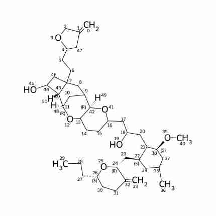 C=C1COC(CCC23CC4C[C@@H](OC5CCC(CC(O)CC6[C@H](C[C@H]7O[C@@H](CCC)CCC7=C)CC(C)C[C@@H]6OC)O[C@H]45)[C@@H]2C(O)C3)C1